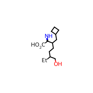 CCC(CO)CCC(CC1CCC1)C(=N)C(=O)O